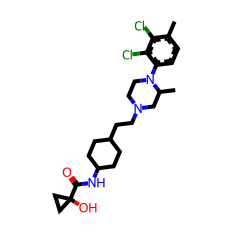 Cc1ccc(N2CCN(CCC3CCC(NC(=O)C4(O)CC4)CC3)CC2C)c(Cl)c1Cl